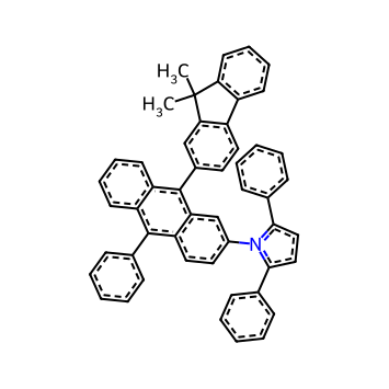 CC1(C)c2ccccc2-c2ccc(-c3c4ccccc4c(-c4ccccc4)c4ccc(-n5c(-c6ccccc6)ccc5-c5ccccc5)cc34)cc21